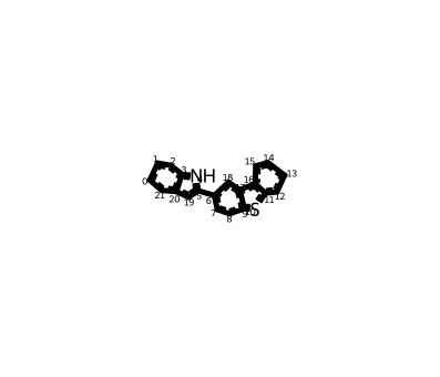 c1ccc2[nH]c(-c3ccc4sc5ccccc5c4c3)cc2c1